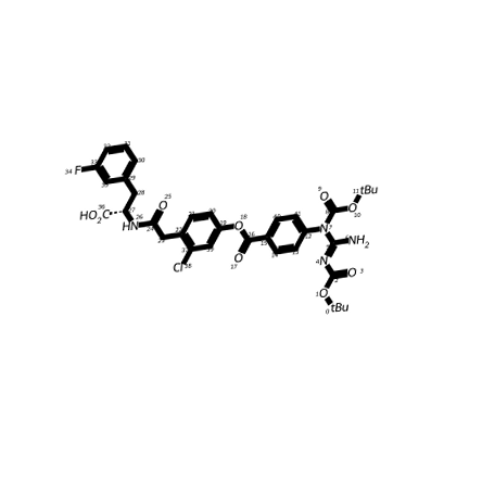 CC(C)(C)OC(=O)N=C(N)N(C(=O)OC(C)(C)C)c1ccc(C(=O)Oc2ccc(CC(=O)N[C@@H](Cc3cccc(F)c3)C(=O)O)c(Cl)c2)cc1